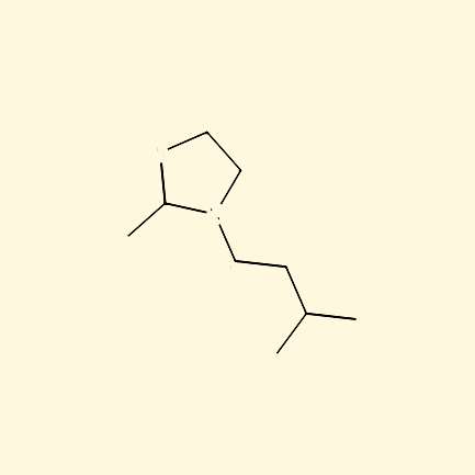 CC(C)CCN1CCSC1C